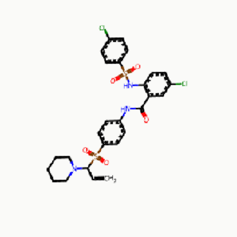 C=CC(N1CCCCC1)S(=O)(=O)c1ccc(NC(=O)c2cc(Cl)ccc2NS(=O)(=O)c2ccc(Cl)cc2)cc1